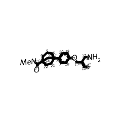 CNC(=O)C12CCCC(c3ccc(OC/C(=C/F)CN)cc3)(CC1)CC2